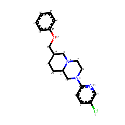 Clc1ccc(N2CCN3CC(COc4ccccc4)CCC3C2)nc1